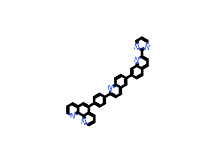 c1cnc(-c2ccc3ccc(-c4ccc5nc(-c6ccc(-c7cc8cccnc8c8ncccc78)cc6)ccc5c4)cc3n2)nc1